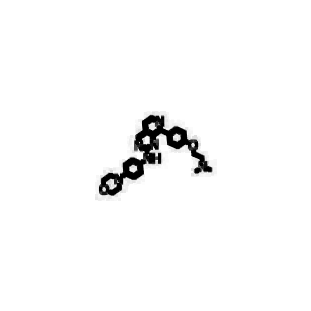 CN(C)CCOc1ccc(-c2nccc3cnc(Nc4ccc(N5CCOCC5)cc4)nc23)cc1